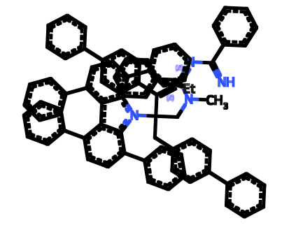 CC/C=C(/c1ccc(-c2ccccc2)cc1)C(Cc1ccc(-c2ccccc2)cc1)(CN(C)/C(=N\C(=N)c1ccccc1)c1ccccc1)n1c2c(-c3ccccc3)ccc(-c3ccccc3)c2c2c(-c3ccccc3)ccc(-c3ccccc3)c21